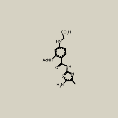 CC(=O)Nc1cc(NCC(=O)O)ccc1C(=O)Nc1nc(C)c(N)s1